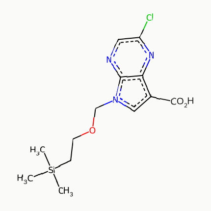 C[Si](C)(C)CCOCn1cc(C(=O)O)c2nc(Cl)cnc21